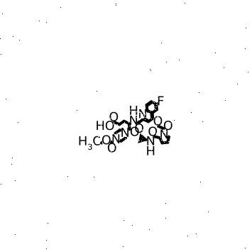 CCOC(=O)N1CCN(C(=O)C(CCC(=O)O)NC(=O)c2cc(OCC(=O)N3CCCC3C(=O)NC3CC3)c3cc(F)ccc3n2)CC1